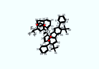 [CH2]=[Zr]([c]1cccc(C(F)(F)F)c1)([c]1cccc2ccccc12)([CH]1C=CC=C1)[CH]1c2cc(-c3ccccc3)c(C(C)(C)C)cc2-c2cc(C(C)(C)C)c(-c3ccccc3)cc21